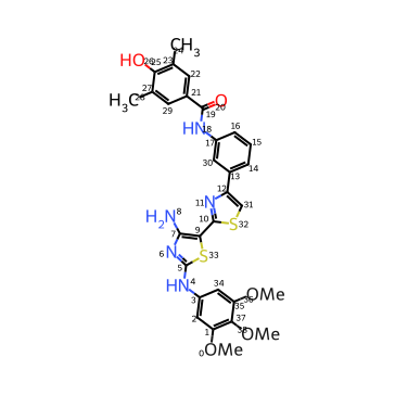 COc1cc(Nc2nc(N)c(-c3nc(-c4cccc(NC(=O)c5cc(C)c(O)c(C)c5)c4)cs3)s2)cc(OC)c1OC